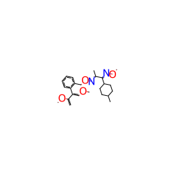 C=C(OC)/C(=C/OC)c1ccccc1CO/N=C(C)/C(=N/OC)C1CCC(C)CC1